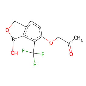 CC(=O)COc1ccc2c(c1C(F)(F)F)B(O)OC2